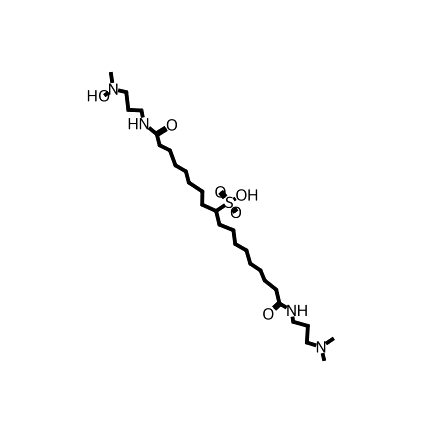 CN(C)CCCNC(=O)CCCCCCCCC(CCCCCCCC(=O)NCCCN(C)O)S(=O)(=O)O